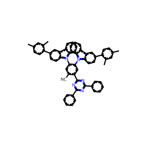 Cc1ccc(-c2ccc3c(c2)c2ccccc2n3-c2cc(C#N)c(-c3nc(-c4ccccc4)nc(-c4ccccc4)n3)cc2-n2c3ccccc3c3cc(-c4ccc(C)cc4C)ccc32)c(C)c1